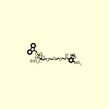 CCOC(=O)[C@](CC)(CCOCCOCCOCCNc1ccc([N+](=O)[O-])c2nonc12)NC(=O)OCC1c2ccccc2-c2ccccc21